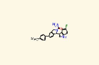 COc1ccc(-c2ccc3c(c2)CN(C(N)=O)C3c2c[nH]c3ccc(F)cc23)cc1